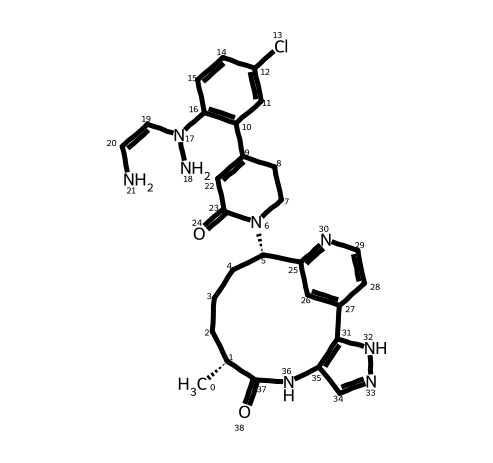 C[C@@H]1CCC[C@H](N2CCC(c3cc(Cl)ccc3N(N)/C=C\N)=CC2=O)c2cc(ccn2)-c2[nH]ncc2NC1=O